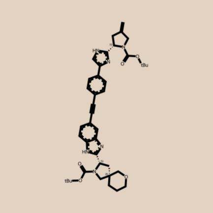 C=C1C[C@@H](c2nc(-c3ccc(C#Cc4ccc5[nH]c([C@@H]6C[C@]7(CCCOC7)CN6C(=O)OC(C)(C)C)nc5c4)cc3)c[nH]2)N(C(=O)OC(C)(C)C)C1